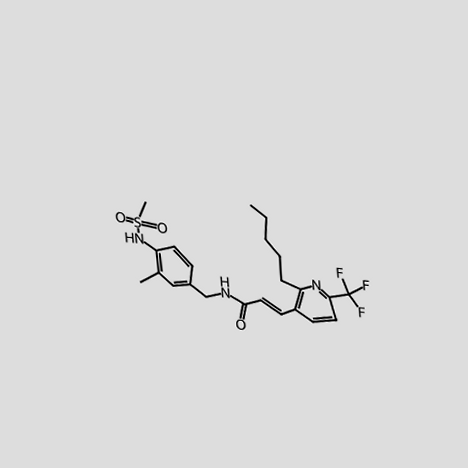 CCCCCc1nc(C(F)(F)F)ccc1/C=C/C(=O)NCc1ccc(NS(C)(=O)=O)c(C)c1